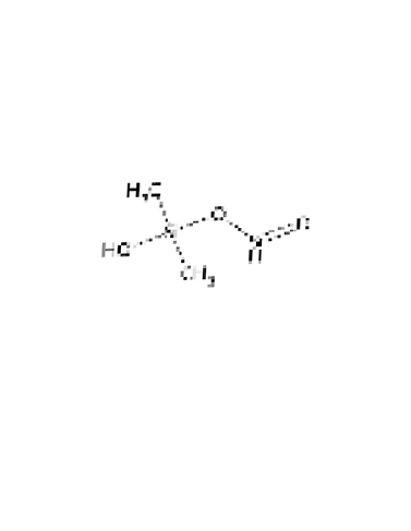 C[Si](C)(O)O[SiH]=O